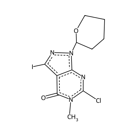 Cn1c(Cl)nc2c(c(I)nn2C2CCCCO2)c1=O